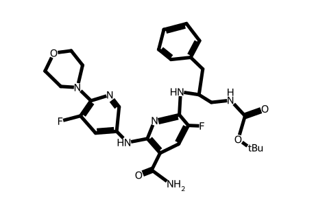 CC(C)(C)OC(=O)NCC(Cc1ccccc1)Nc1nc(Nc2cnc(N3CCOCC3)c(F)c2)c(C(N)=O)cc1F